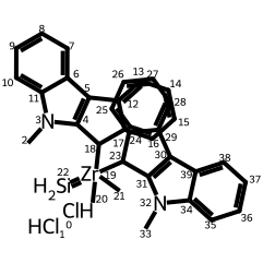 Cl.Cl.Cn1c2c(c3ccccc31)-c1ccccc1[CH]2[Zr]([CH3])([CH3])(=[SiH2])[CH]1c2ccccc2-c2c1n(C)c1ccccc21